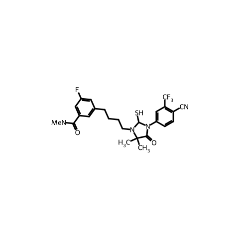 CNC(=O)c1cc(F)cc(CCCCN2C(S)N(c3ccc(C#N)c(C(F)(F)F)c3)C(=O)C2(C)C)c1